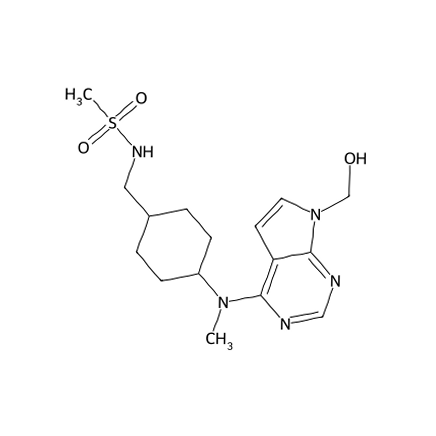 CN(c1ncnc2c1ccn2CO)C1CCC(CNS(C)(=O)=O)CC1